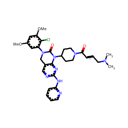 COc1cc(OC)c(Cl)c(N2Cc3cnc(Nc4ccccn4)nc3N(C3CCN(C(=O)/C=C/CN(C)C)CC3)C2=O)c1